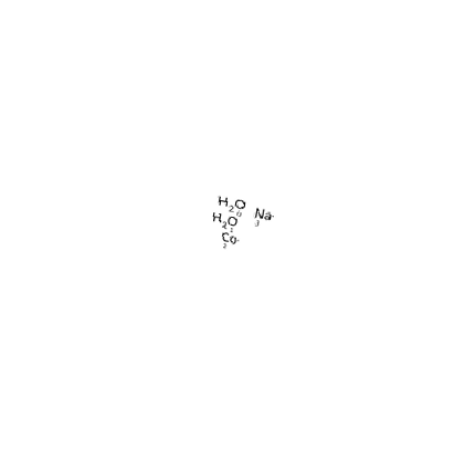 O.O.[Co].[Na]